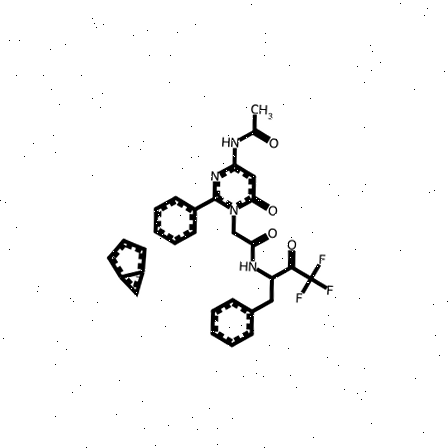 CC(=O)Nc1cc(=O)n(CC(=O)NC(Cc2ccccc2)C(=O)C(F)(F)F)c(-c2ccccc2)n1.c1cc2cc-2c1